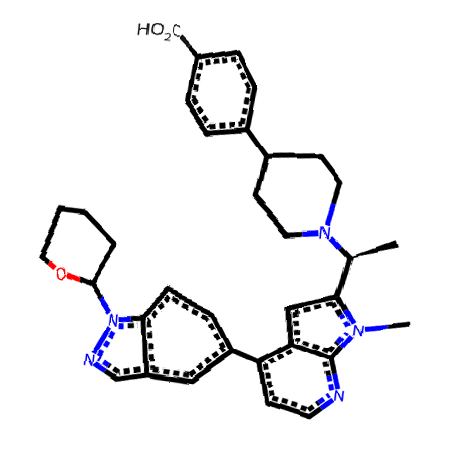 C[C@@H](c1cc2c(-c3ccc4c(cnn4C4CCCCO4)c3)ccnc2n1C)N1CCC(c2ccc(C(=O)O)cc2)CC1